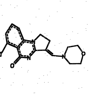 O=c1nc2n(c3cccc(Cl)c13)CC/C2=C\N1CCOCC1